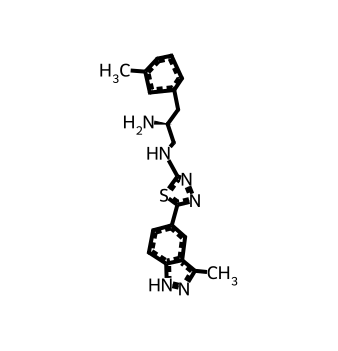 Cc1cccc(C[C@H](N)CNc2nnc(-c3ccc4[nH]nc(C)c4c3)s2)c1